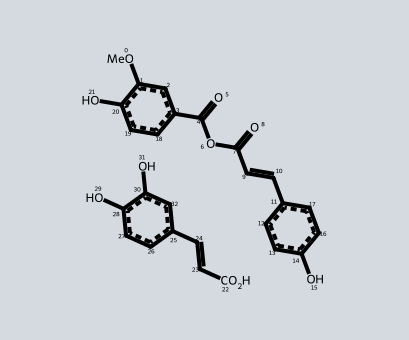 COc1cc(C(=O)OC(=O)/C=C/c2ccc(O)cc2)ccc1O.O=C(O)/C=C/c1ccc(O)c(O)c1